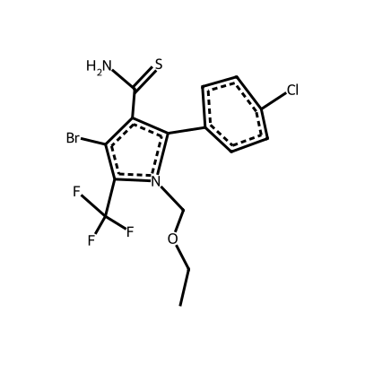 CCOCn1c(-c2ccc(Cl)cc2)c(C(N)=S)c(Br)c1C(F)(F)F